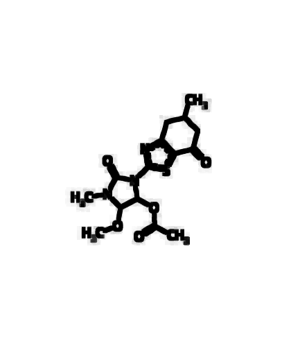 COC1C(OC(C)=O)N(c2nc3c(s2)C(=O)CC(C)C3)C(=O)N1C